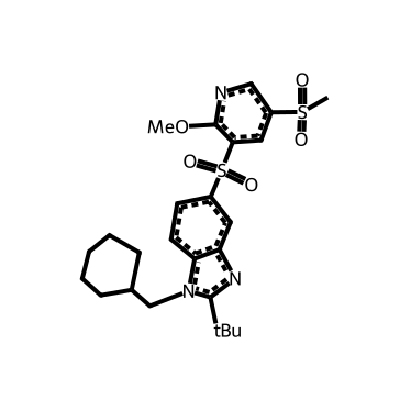 COc1ncc(S(C)(=O)=O)cc1S(=O)(=O)c1ccc2c(c1)nc(C(C)(C)C)n2CC1CCCCC1